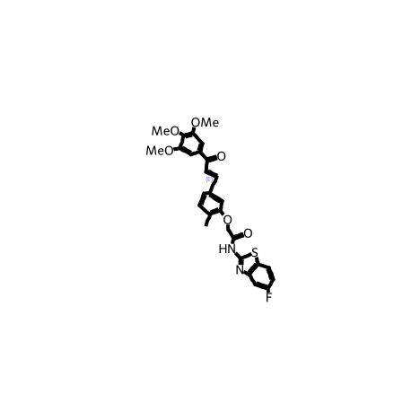 COc1cc(C(=O)/C=C/c2ccc(C)c(OCC(=O)Nc3nc4cc(F)ccc4s3)c2)cc(OC)c1OC